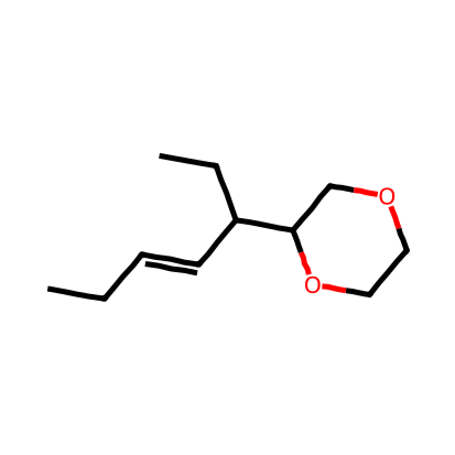 CCC=CC(CC)C1COCCO1